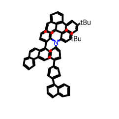 CC(C)(C)c1cc(-c2cccc3cccc(-c4ccccc4N(c4ccc(-c5ccc(-c6cccc7ccccc67)cc5)cc4)c4ccccc4-c4cccc5c4ccc4ccccc45)c23)cc(C(C)(C)C)c1